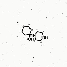 OC1(N2CCNCC2)CCCCC1